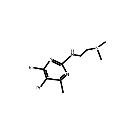 CCc1nc(NCCN(C)C)nc(C)c1C(C)C